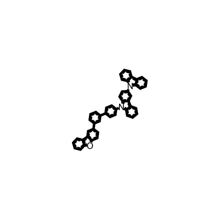 c1cc(-c2ccc(-n3c4ccccc4c4cc(-n5c6ccccc6c6ccccc65)ccc43)cc2)cc(-c2ccc3oc4ccccc4c3c2)c1